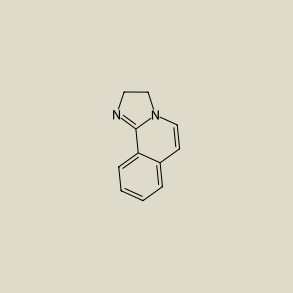 C1=CN2CCN=C2c2ccccc21